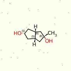 C[C@]1(O)C[C@H]2C[C@@H](O)C[C@H]2C1